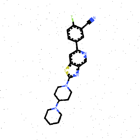 N#Cc1cc(-c2cc3sc(N4CCC(N5CCCCC5)CC4)nc3cn2)ccc1F